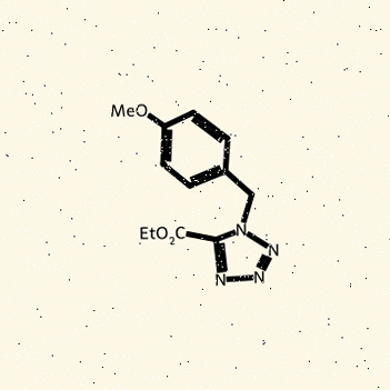 CCOC(=O)c1nnnn1Cc1ccc(OC)cc1